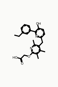 CCc1cccc(-c2nc(Cc3c(C)nc(OCC(=O)O)c(C)c3C)ccc2O)c1